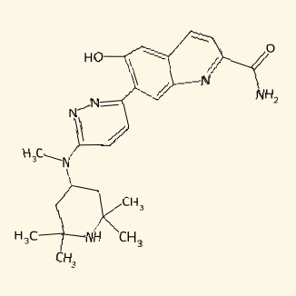 CN(c1ccc(-c2cc3nc(C(N)=O)ccc3cc2O)nn1)C1CC(C)(C)NC(C)(C)C1